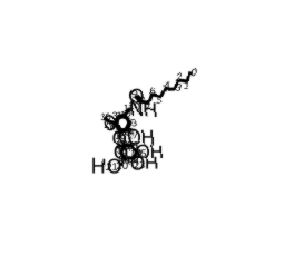 CCCCCCCCC(=O)NCc1ccc(O[C@@H]2O[C@H](CO)[C@@H](O)[C@H](O)[C@H]2O)c(OC)c1